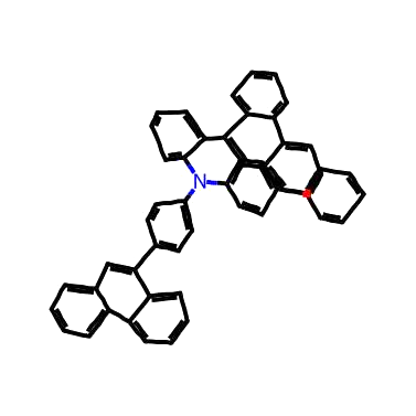 c1ccc(-c2ccc(N(c3ccc(-c4cc5ccccc5c5ccccc45)cc3)c3ccccc3-c3cc4ccccc4c4ccccc34)cc2)cc1